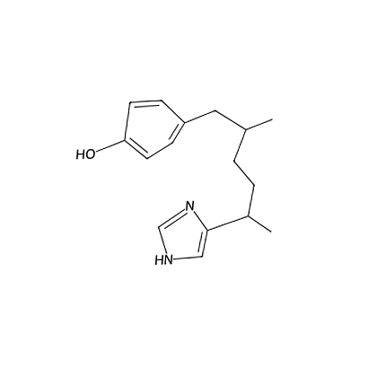 CC(CCC(C)c1c[nH]cn1)Cc1ccc(O)cc1